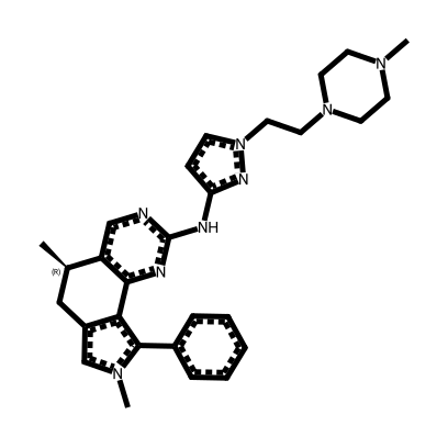 C[C@@H]1Cc2cn(C)c(-c3ccccc3)c2-c2nc(Nc3ccn(CCN4CCN(C)CC4)n3)ncc21